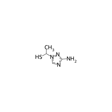 CC(S)n1cnc(N)n1